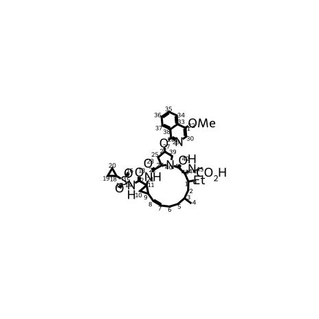 CCC1CC(C)CCC=CC2CC2(C(=O)NS(=O)(=O)C2CC2)NC(=O)C2CC(Oc3ncc(OC)c4ccccc34)CN2C(=O)C1NC(=O)O